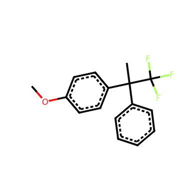 COc1ccc(C(C)(c2ccccc2)C(F)(F)F)cc1